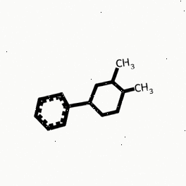 CC1CCC(c2ccccc2)CC1C